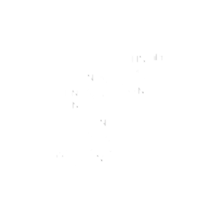 CC(C)Nc1cncc(-c2cnc3[nH]nc(-c4cc5c(-c6ccoc6)nccc5[nH]4)c3c2)c1